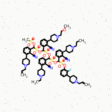 C=CCN1CCC(c2cccc(OS(=O)(=O)C(OS(=O)(=O)C(OS(=O)(=O)C(OS(=O)(=O)C(OS(C)(=O)=O)c3cccc(C4CCN(CC=C)CC4)c3C#N)c3cccc(C4CCN(CCOC)CC4)c3C#N)c3cccc(C4CCN(CC)CC4)c3C#N)c3cccc(C4CCN(CCC)CC4)c3C#N)c2F)CC1